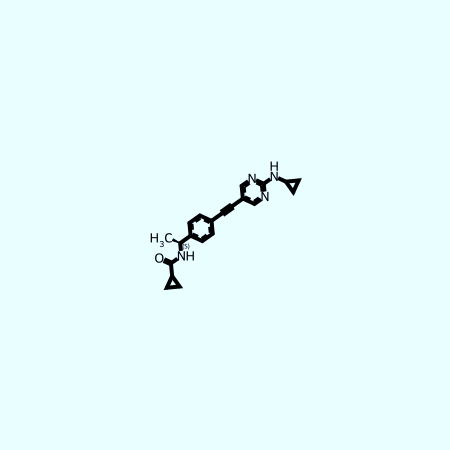 C[C@H](NC(=O)C1CC1)c1ccc(C#Cc2cnc(NC3CC3)nc2)cc1